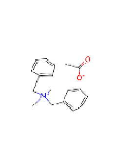 CC(=O)[O-].C[N+](C)(Cc1ccccc1)Cc1ccccc1